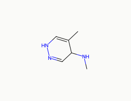 CNC1C=NNC=C1C